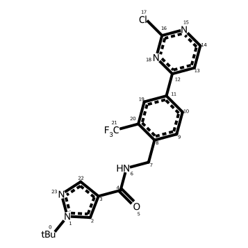 CC(C)(C)n1cc(C(=O)NCc2ccc(-c3ccnc(Cl)n3)cc2C(F)(F)F)cn1